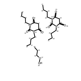 CCCCN1C(=O)CC(=O)N(CCCC)C1=O.CCCCN1C(=O)CC(=O)N(CCCC)C1=O.CCCOO